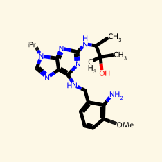 COc1cccc(CNc2nc(NC(C)C(C)(C)O)nc3c2ncn3C(C)C)c1N